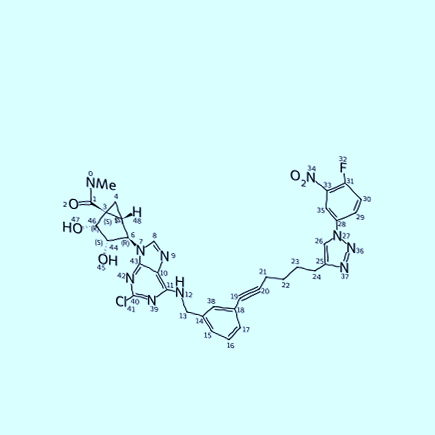 CNC(=O)[C@@]12C[C@@H]1[C@@H](n1cnc3c(NCc4cccc(C#CCCCCc5cn(-c6ccc(F)c([N+](=O)[O-])c6)nn5)c4)nc(Cl)nc31)[C@H](O)[C@@H]2O